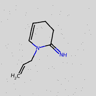 C=CCN1C=CCCC1=N